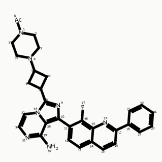 CC(=O)N1CCN(C2CC(c3nc(-c4ccc5ccc(-c6ccccc6)nc5c4F)c4c(N)nccn34)C2)CC1